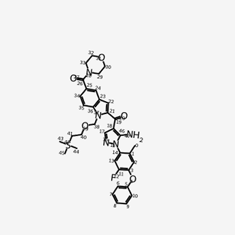 Cc1cc(Oc2ccccc2)c(F)cc1-n1ncc(C(=O)c2cc3cc(C(=O)N4CCOCC4)ccc3n2COCCS(C)(C)C)c1N